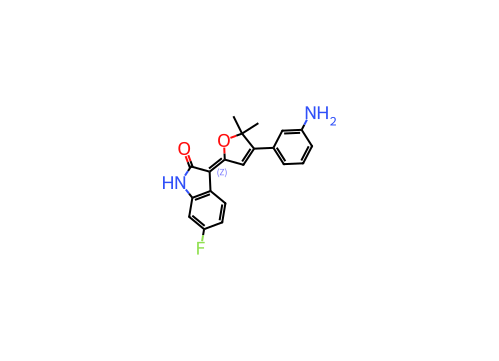 CC1(C)O/C(=C2\C(=O)Nc3cc(F)ccc32)C=C1c1cccc(N)c1